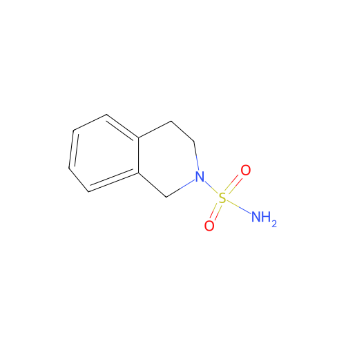 NS(=O)(=O)N1CCc2ccccc2C1